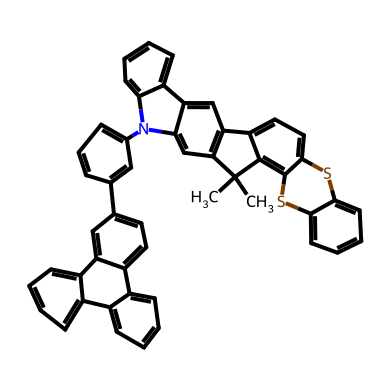 CC1(C)c2cc3c(cc2-c2ccc4c(c21)Sc1ccccc1S4)c1ccccc1n3-c1cccc(-c2ccc3c4ccccc4c4ccccc4c3c2)c1